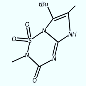 CC1=C(C(C)(C)C)N2C(=NC(=O)N(C)S2(=O)=O)N1